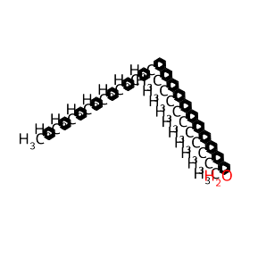 Cc1ccccc1.Cc1ccccc1.Cc1ccccc1.Cc1ccccc1.Cc1ccccc1.Cc1ccccc1.Cc1ccccc1.Cc1ccccc1.Cc1ccccc1.Cc1ccccc1.Cc1ccccc1.Cc1ccccc1.Cc1ccccc1.Cc1ccccc1.Cc1ccccc1.Cc1ccccc1.Cc1ccccc1.Cc1ccccc1.O